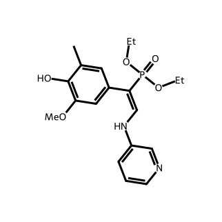 CCOP(=O)(OCC)/C(=C/Nc1cccnc1)c1cc(C)c(O)c(OC)c1